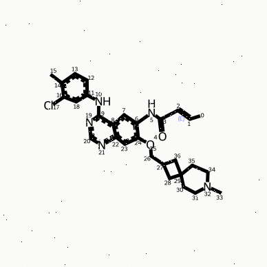 C/C=C/C(=O)Nc1cc2c(Nc3ccc(C)c(Cl)c3)ncnc2cc1OCC1CC2(CCN(C)CC2)C1